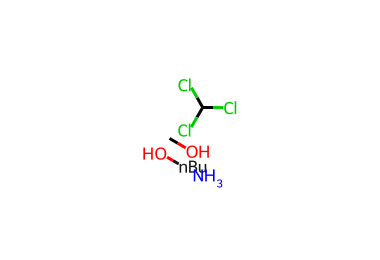 CCCCO.CO.ClC(Cl)Cl.N